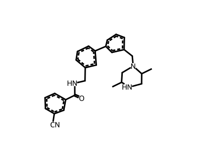 CC1CN(Cc2cccc(-c3cccc(CNC(=O)c4cccc(C#N)c4)c3)c2)C(C)CN1